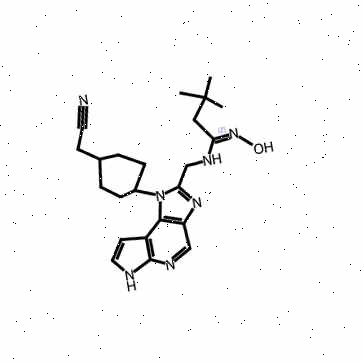 CC(C)(C)C/C(=N/O)NCc1nc2cnc3[nH]ccc3c2n1C1CCC(CC#N)CC1